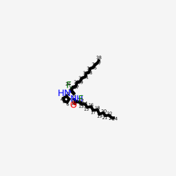 C=C(N[C@H]1CCC[C@H]1NC(=O)/C(F)=C/CCCCCCCCCCC)/C(F)=C/CCCCCCCCCCC